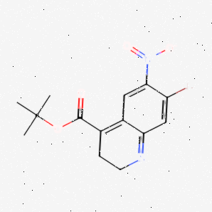 CC(C)(C)OC(=O)C1=c2cc([N+](=O)[O-])c(Br)cc2=NCC1